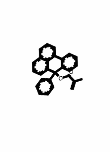 C=C(C)C(=O)OC1(c2ccccc2)c2ccccc2-c2cccc3cccc1c23